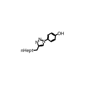 CCCCCCCCc1cn(-c2ccc(O)cc2)nn1